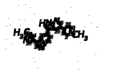 CN1CC=C(c2cnc3[nH]cc(-c4ccn5ncc(-c6cnn(C)c6)c5c4)c3c2)CC1